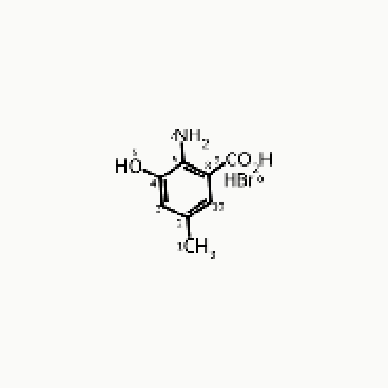 Br.Cc1cc(O)c(N)c(C(=O)O)c1